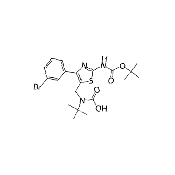 CC(C)(C)OC(=O)Nc1nc(-c2cccc(Br)c2)c(CN(C(=O)O)C(C)(C)C)s1